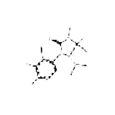 Cc1ccc(N2C(=O)N(C)C(C)(C)[C@@H]2C(C)C)c(C)c1C